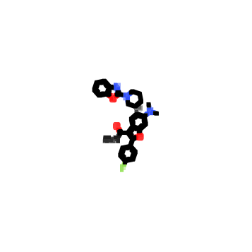 CNC(=O)c1c(-c2ccc(F)cc2)oc2cc(N(C)C)c([C@H]3CCCN(c4nc5ccccc5o4)C3)cc12